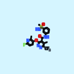 Cc1nc(F)ccc1Oc1nnc(C(F)(F)F)c(C)c1C(=O)Nc1cccc([S@](C)(=N)=O)c1